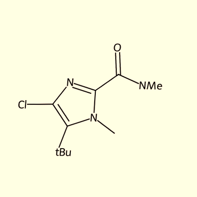 CNC(=O)c1nc(Cl)c(C(C)(C)C)n1C